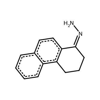 N/N=C1/CCCc2c1ccc1ccccc21